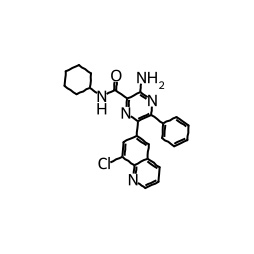 Nc1nc(-c2ccccc2)c(-c2cc(Cl)c3ncccc3c2)nc1C(=O)NC1CCCCC1